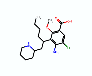 CCCCC(CC1CCCCN1)c1c(N)c(Cl)cc(C(=O)O)c1OC